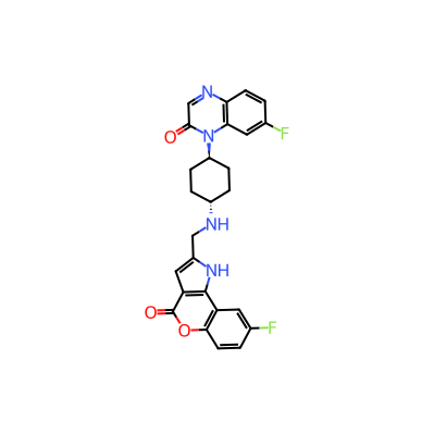 O=c1oc2ccc(F)cc2c2[nH]c(CN[C@H]3CC[C@H](n4c(=O)cnc5ccc(F)cc54)CC3)cc12